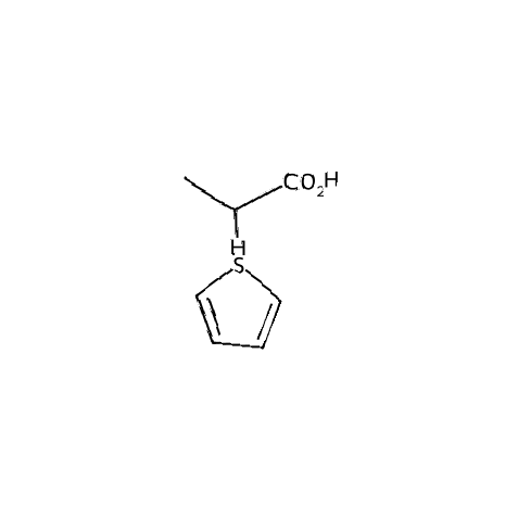 CC(C(=O)O)[SH]1C=CC=C1